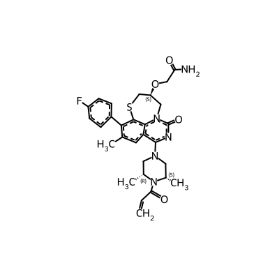 C=CC(=O)N1[C@H](C)CN(c2nc(=O)n3c4c(c(-c5ccc(F)cc5)c(C)cc24)SC[C@@H](OCC(N)=O)C3)C[C@@H]1C